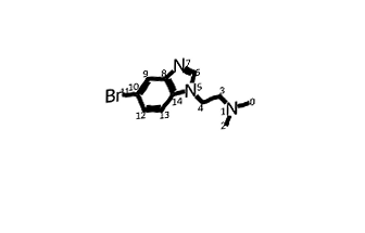 CN(C)CCn1cnc2cc(Br)ccc21